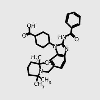 CC1(C)CCCC(C)(C)N1Cc1ccc2nc(NC(=O)c3ccccc3)n(C3CCC(C(=O)O)CC3)c2c1